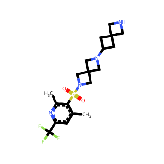 Cc1cc(C(F)(F)F)nc(C)c1S(=O)(=O)N1CC2(CN(C3CC4(CNC4)C3)C2)C1